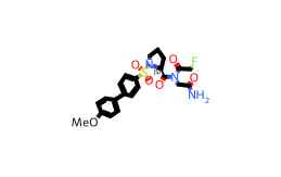 COc1ccc(-c2ccc(S(=O)(=O)N3CCC[C@H]3C(=O)N(CC(N)=O)C(=O)CF)cc2)cc1